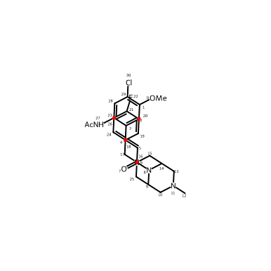 COc1cc(C=CC(=O)N2C3CN(C)CC2CN(Cc2ccc(F)cc2)C3)c(NC(C)=O)cc1Cl